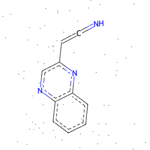 N=C=Cc1cnc2ccccc2n1